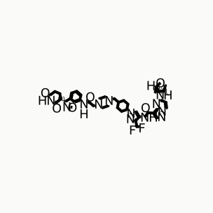 O=C1CC[C@H](c2noc3c(NC(=O)CN4CCN(CC5CCC(n6cc(NC(=O)c7cnn8ccc(N9C[C@@H]%10C[C@H]9CO%10)nc78)c(C(F)F)n6)CC5)CC4)cccc23)C(=O)N1